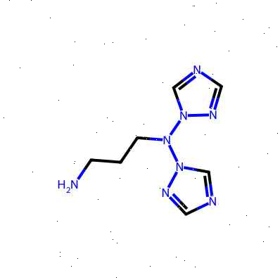 NCCCN(n1cncn1)n1cncn1